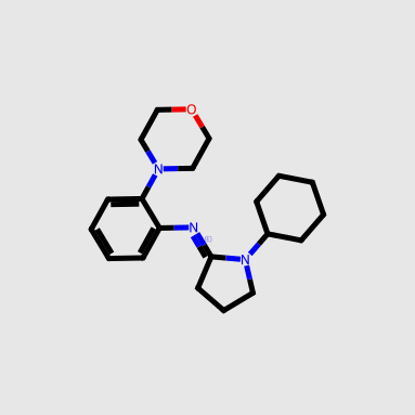 c1ccc(N2CCOCC2)c(/N=C2\CCCN2C2CCCCC2)c1